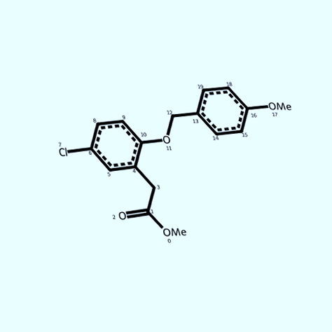 COC(=O)Cc1cc(Cl)ccc1OCc1ccc(OC)cc1